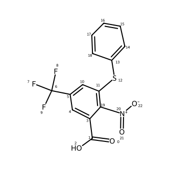 O=C(O)c1cc(C(F)(F)F)cc(Sc2ccccc2)c1[N+](=O)[O-]